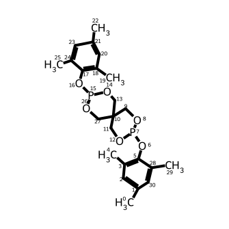 Cc1cc(C)c(OP2OCC3(CO2)COP(Oc2c(C)cc(C)cc2C)OC3)c(C)c1